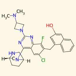 CN(C)C1CN(c2nc(N3C[C@@H]4CC[C@@H]3CN4)c3cc(Cl)c(Cc4cc(O)cc5ccccc45)c(F)c3n2)C1